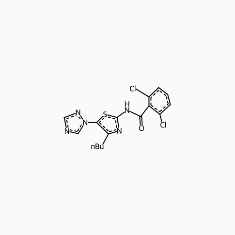 CCCCc1nc(NC(=O)c2c(Cl)cccc2Cl)sc1-n1cncn1